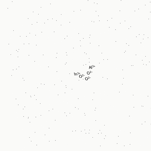 [Al+3].[In+3].[O-2].[O-2].[O-2]